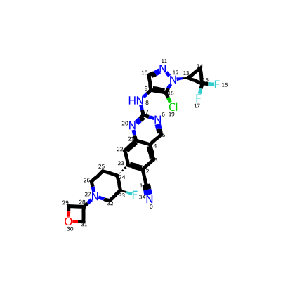 N#Cc1cc2cnc(Nc3cnn([C@H]4CC4(F)F)c3Cl)nc2cc1[C@H]1CCN(C2COC2)C[C@@H]1F